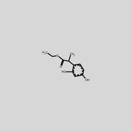 CCOC(=O)C(C)c1ccc(O)cc1O